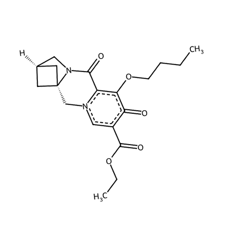 CCCCOc1c2n(cc(C(=O)OCC)c1=O)C[C@]13C[C@H](CN1C2=O)C3